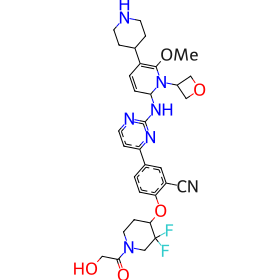 COC1=C(C2CCNCC2)C=CC(Nc2nccc(-c3ccc(OC4CCN(C(=O)CO)CC4(F)F)c(C#N)c3)n2)N1C1COC1